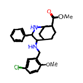 COC(=O)C1CCC2CC1NC(c1ccccc1)C2NCc1cc(Cl)ccc1OC